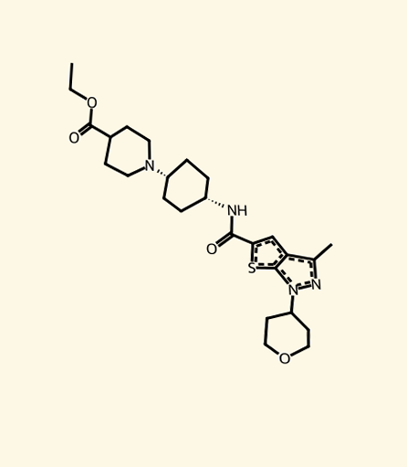 CCOC(=O)C1CCN([C@H]2CC[C@@H](NC(=O)c3cc4c(C)nn(C5CCOCC5)c4s3)CC2)CC1